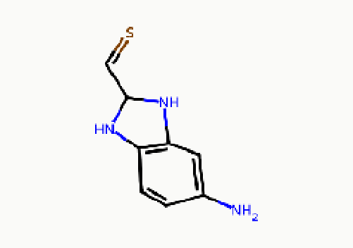 Nc1ccc2c(c1)NC(C=S)N2